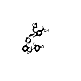 O=C(O)c1ccc2nc(CN3CCN(c4cccc5c4O[C@@H](c4ccc(Cl)cc4F)CO5)CC3)n(C[C@@H]3CCO3)c2c1